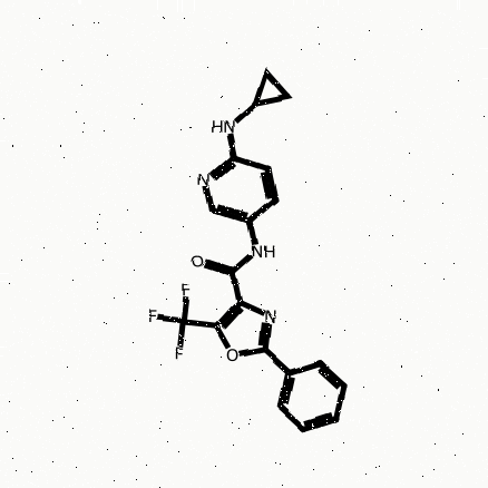 O=C(Nc1ccc(NC2CC2)nc1)c1nc(-c2ccccc2)oc1C(F)(F)F